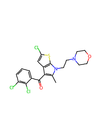 Cc1c(C(=O)c2cccc(Cl)c2Cl)c2cc(Cl)sc2n1CCN1CCOCC1